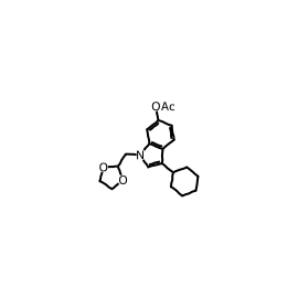 CC(=O)Oc1ccc2c(C3CCCCC3)cn(CC3OCCO3)c2c1